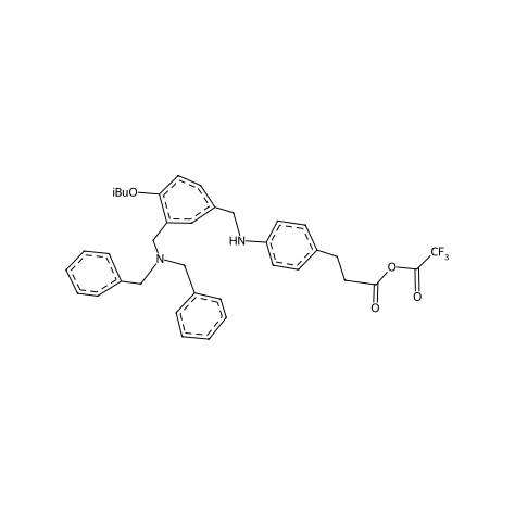 CC(C)COc1ccc(CNc2ccc(CCC(=O)OC(=O)C(F)(F)F)cc2)cc1CN(Cc1ccccc1)Cc1ccccc1